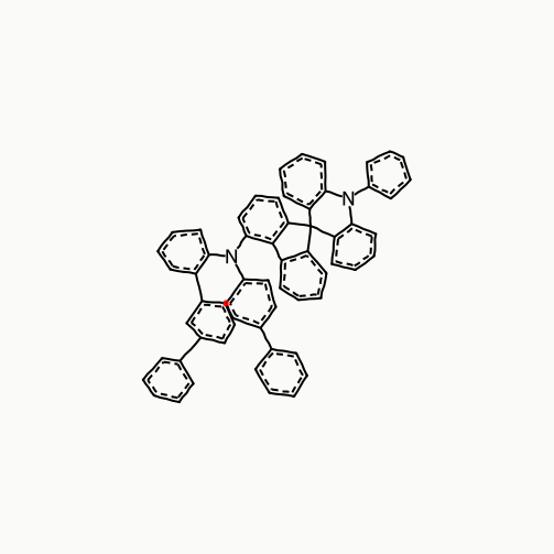 c1ccc(-c2ccc(N(c3ccccc3-c3cccc(-c4ccccc4)c3)c3cccc4c3-c3ccccc3C43c4ccccc4N(c4ccccc4)c4ccccc43)cc2)cc1